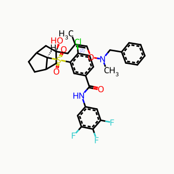 C/C(=C/ON(C)Cc1ccccc1)C[C@]1(O)CC2CCC(C1)[C@H]2S(=O)(=O)c1cc(C(=O)Nc2cc(F)c(F)c(F)c2)ccc1Cl